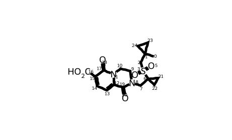 CC1(CS(=O)(=O)C2(CN3CCn4c(ccc(C(=O)O)c4=O)C3=O)CC2)CC1